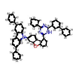 C1=C2c3c(cccc3C3=NC(c4ccccc4)=NC(c4cccc(-c5ccccc5)c4)N3)OC2CC(n2c3ccc(-c4ccccc4)cc3c3ccc(-c4ccccc4)cc32)=C1